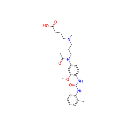 COc1cc(N(CCCN(C)CCCC(=O)O)C(C)=O)ccc1NC(=O)Nc1ccccc1C